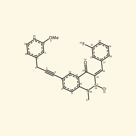 COc1cc(CC#Cc2ccc3c(c2)C(=O)/C(=C\c2cccc(F)c2)[S+]([O-])N3C)ccn1